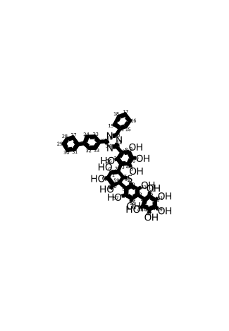 OC1=C(c2c(O)c(O)c(O)c(-c3nc(-c4ccccc4)nc(-c4ccc(-c5ccccc5)cc4)n3)c2O)C2Sc3c(O)c(-c4c(O)c(O)c(O)c(O)c4O)c(O)c(O)c3C2C(O)=C1O